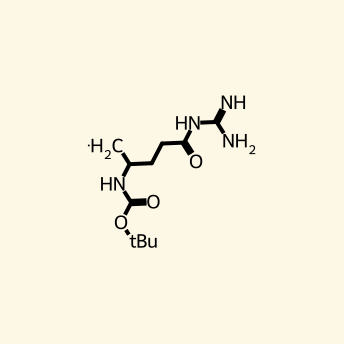 [CH2]C(CCC(=O)NC(=N)N)NC(=O)OC(C)(C)C